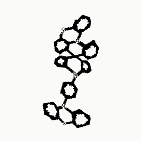 c1ccc2c(c1)Sc1cccc3c1B2c1ccccc1C31c2ccccc2B(c2ccc(N3c4ccccc4Sc4ccccc43)cc2)c2ccccc21